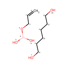 C=CCOB(O)O.OCCCCCCO